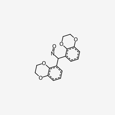 O=NC(c1cccc2c1OCCO2)c1cccc2c1OCCO2